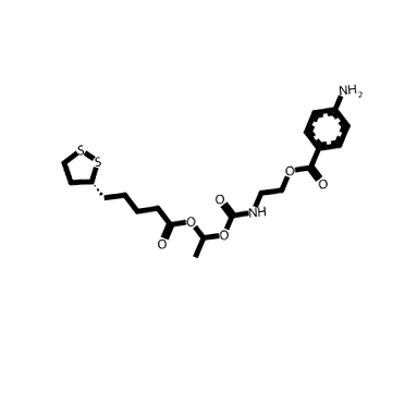 CC(OC(=O)CCCC[C@@H]1CCSS1)OC(=O)NCCOC(=O)c1ccc(N)cc1